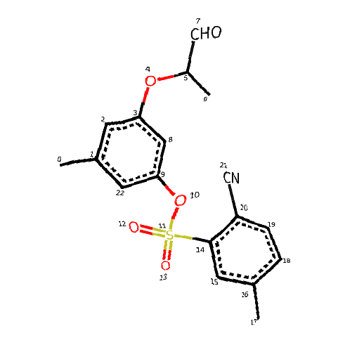 Cc1cc(OC(C)C=O)cc(OS(=O)(=O)c2cc(C)ccc2C#N)c1